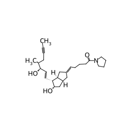 CC#CC[C@H](C)[C@H](O)C=C[C@@H]1[C@H]2CC(=CCCCC(=O)N3CCCC3)C[C@H]2C[C@H]1O